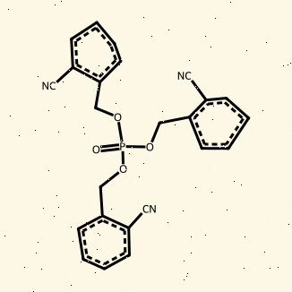 N#Cc1ccccc1COP(=O)(OCc1ccccc1C#N)OCc1ccccc1C#N